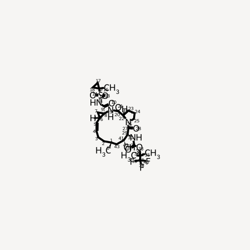 C[C@H]1CC/C=C\[C@@H]2C[C@@]2(C(=O)NS(=O)(=O)C2(C)CC2)NC(=O)[C@@H]2C[CH]CN2C(=O)[C@@H](NC(=O)OC(C)(C)C(F)(F)F)[C@H](C)C1